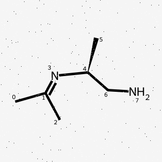 CC(C)=N[C@@H](C)CN